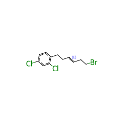 Clc1ccc(CC/C=C/CCBr)c(Cl)c1